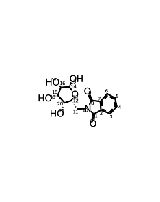 O=C1c2ccccc2C(=O)N1C[C@H]1O[C@H](O)[C@H](O)[C@@H](O)[C@H]1O